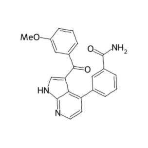 COc1cccc(C(=O)c2c[nH]c3nccc(-c4cccc(C(N)=O)c4)c23)c1